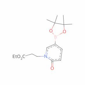 CCOC(=O)CCn1cc(B2OC(C)(C)C(C)(C)O2)ccc1=O